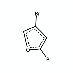 Brc1[c]oc(Br)c1